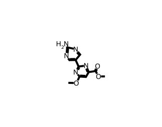 COC(=O)c1cc(OC)nc(-c2cnc(N)nc2)n1